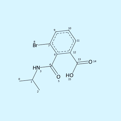 CC(C)NC(=O)c1c(Br)cccc1C(=O)O